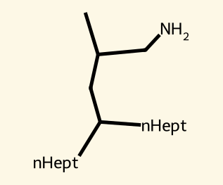 CCCCCCCC(CCCCCCC)CC(C)CN